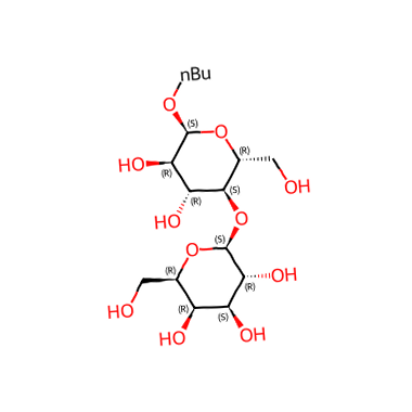 CCCCO[C@H]1O[C@H](CO)[C@@H](O[C@@H]2O[C@H](CO)[C@H](O)[C@H](O)[C@H]2O)[C@H](O)[C@H]1O